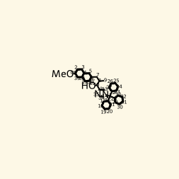 COc1ccc2cc(CC(C)C(O)c3cn(C(c4ccccc4)(c4ccccc4)c4ccccc4)cn3)ccc2c1